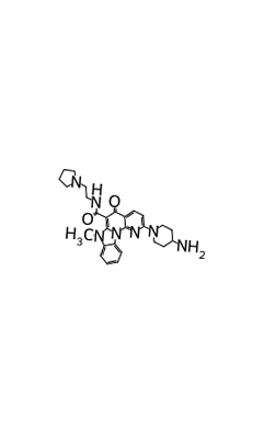 Cn1c2ccccc2n2c3nc(N4CCC(N)CC4)ccc3c(=O)c(C(=O)NCCN3CCCC3)c12